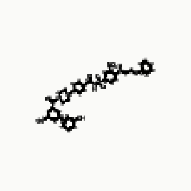 CC(C)(C)c1cc(C(=O)N2CCN(c3ccc(C(=O)NS(=O)(=O)c4ccc(NCCSc5ccccc5)c([N+](=O)[O-])c4)cc3)CC2)cc(-c2cccc(O)c2)c1